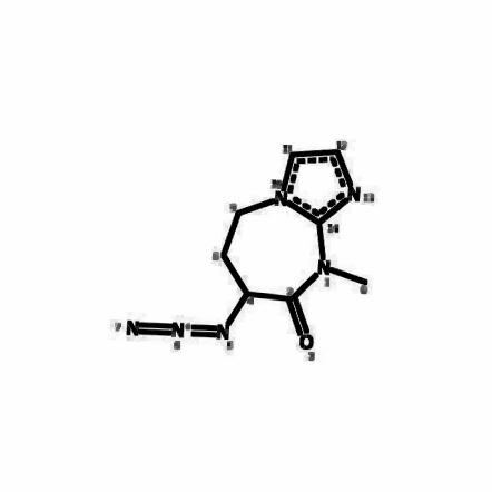 CN1C(=O)C(N=[N+]=[N-])CCn2ccnc21